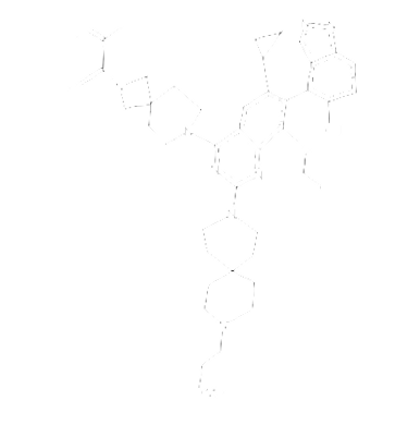 C=C(F)C(=O)N1CC2(CCN(c3nc(N4CCC5(CCN(CCOC)CC5)CC4)nc4c(OCC(F)(F)F)c(-c5c(C)ccc6[nH]ncc56)c(C5CC5)cc34)CC2)C1